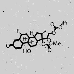 COC(=O)O[C@]1(C(=O)COC(=O)OC(C)C)[C@H](C)C[C@H]2[C@@H]3C[C@H](F)C4=CC(=O)C=C[C@]4(C)[C@@]3(F)[C@@H](O)C[C@@]21C